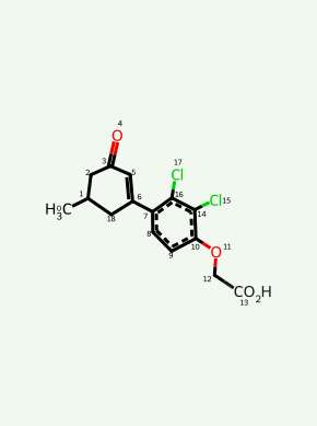 CC1CC(=O)C=C(c2ccc(OCC(=O)O)c(Cl)c2Cl)C1